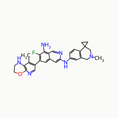 Cc1c(-c2cc3cc(Nc4ccc5c(c4)CN(C)CC54CC4)ncc3c(N)c2F)cnc2c1NCCO2